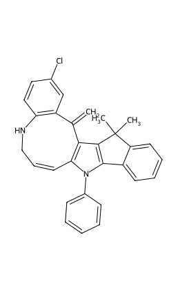 C=C1c2cc(Cl)ccc2NC/C=C\c2c1c1c(n2-c2ccccc2)-c2ccccc2C1(C)C